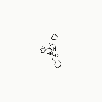 O=C(Cc1ccccc1)Nc1ncc(-c2ccccc2)nc1-c1cccs1